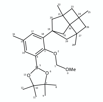 COCOc1c(B2OC(C)(C)C(C)(C)O2)cc(C)cc1C12CC3(C)CC4(C)CC(C)(C1)C34C2